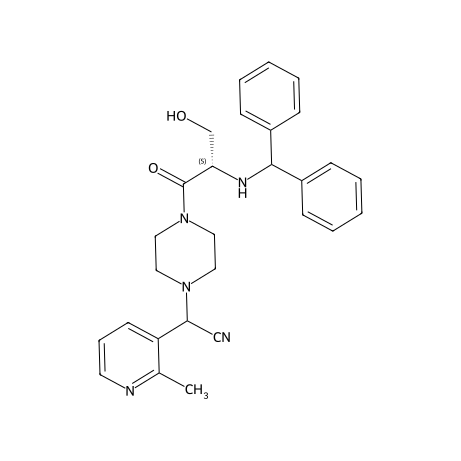 Cc1ncccc1C(C#N)N1CCN(C(=O)[C@H](CO)NC(c2ccccc2)c2ccccc2)CC1